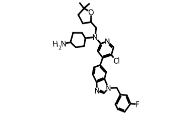 CC1(C)CCC(CN(c2cc(-c3ccc4ncn(Cc5cccc(F)c5)c4c3)c(Cl)cn2)C2CCC(N)CC2)O1